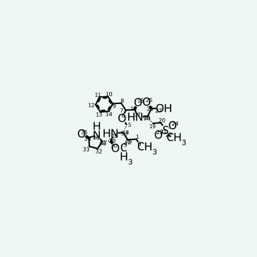 CC[C@H](C)[C@@H](COC(Cc1ccccc1)C(=O)N[C@@H](CCS(C)(=O)=O)C(=O)O)NC(=O)[C@@H]1CCC(=O)N1